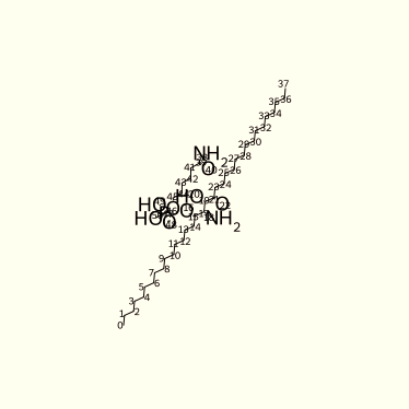 CCCCCCCCCCCCCCCC(=O)C(N)C(O)C(=O)CCCCCCCCCCCCCCC.NC(=O)CCCCCOP(=O)(O)O